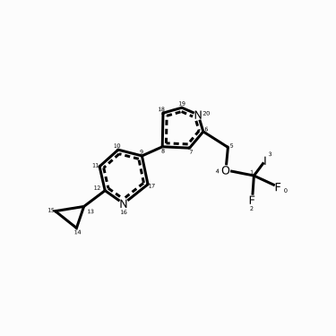 FC(F)(I)OCc1cc(-c2ccc(C3CC3)nc2)ccn1